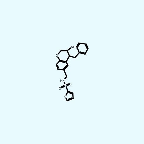 NC1COc2ccc(CNS(=O)(=O)c3cccs3)cc2C1Cc1ccccc1